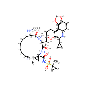 CC1(S(=O)(=O)NC(=O)[C@@]23C[C@H]2/C=C\CCCCC[C@H](NC(=O)O)C(=O)N2C[C@@]4(CCc5c(c(C6CC6)nc6ccc7c(c56)OCO7)O4)C[C@H]2C(=O)N3)CC1